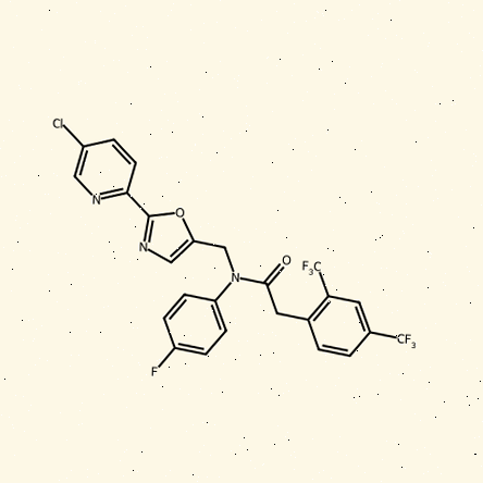 O=C(Cc1ccc(C(F)(F)F)cc1C(F)(F)F)N(Cc1cnc(-c2ccc(Cl)cn2)o1)c1ccc(F)cc1